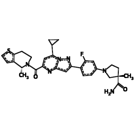 C[C@@H]1c2ccsc2CCN1C(=O)c1cc(C2CC2)n2nc(-c3ccc(N4CC[C@](C)(C(N)=O)C4)cc3F)cc2n1